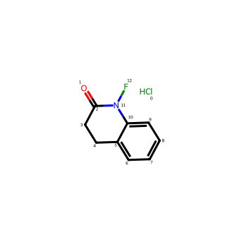 Cl.O=C1CCc2ccccc2N1F